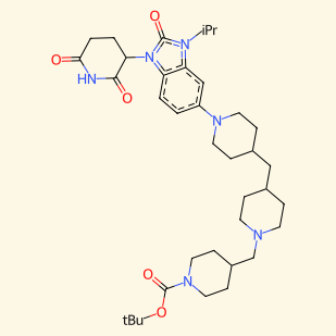 CC(C)n1c(=O)n(C2CCC(=O)NC2=O)c2ccc(N3CCC(CC4CCN(CC5CCN(C(=O)OC(C)(C)C)CC5)CC4)CC3)cc21